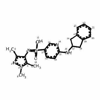 Cc1nn(C)c(C)c1N=S(=O)(O)c1ccc(NC2Cc3ccccc3C2)nc1